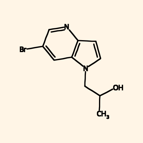 CC(O)Cn1ccc2ncc(Br)cc21